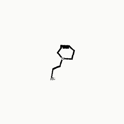 [CH2]CCCCCN1CC=CCC1